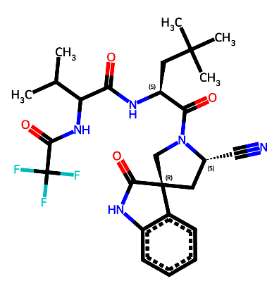 CC(C)C(NC(=O)C(F)(F)F)C(=O)N[C@@H](CC(C)(C)C)C(=O)N1C[C@]2(C[C@H]1C#N)C(=O)Nc1ccccc12